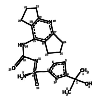 CC(C)(O)c1ccc([S@](N)(=O)=NC(=O)Nc2c3c(nc4c2CCC4)CCC3)s1